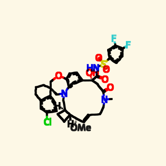 CO[C@H]1/C=C/CCN(C)C(=O)C[C@](O)(C(=O)NS(=O)(=O)c2ccc(F)c(F)c2)c2ccc3c(c2)N(C[C@@H]2CC[C@H]21)C[C@@]1(CCCc2cc(Cl)ccc21)CO3